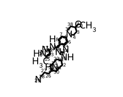 COC1CCN(c2ccc3c(Nc4cc(C)[nH]n4)nc(NC4CC5CC(CCC#N)CC(C4)N5)nc3c2)CC1